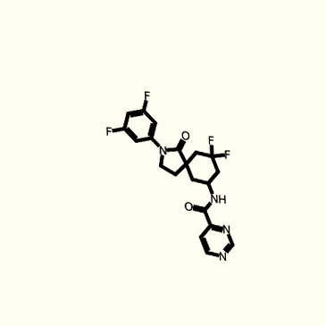 O=C(NC1CC(F)(F)CC2(CCN(c3cc(F)cc(F)c3)C2=O)C1)c1ccncn1